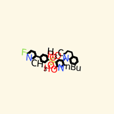 CCCCc1nc(O)c(S(=O)(=O)c2ccc(-c3ccc(F)nc3C)cc2)c(O)c1N1c2ccccc2CCC1C